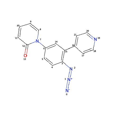 [N-]=[N+]=Nc1ccc(-n2ccccc2=O)cc1-c1ccncc1